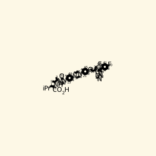 CC(C)C[C@H](NC(C)C(C)n1ncn(-c2ccc(N3CCN(c4ccc(OCC5COC(Cn6cncn6)(c6ccc(F)cc6F)O5)cc4)CC3)cc2)c1=O)C(=O)O